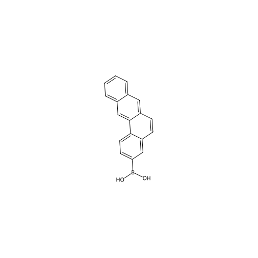 OB(O)c1ccc2c(ccc3cc4ccccc4cc32)c1